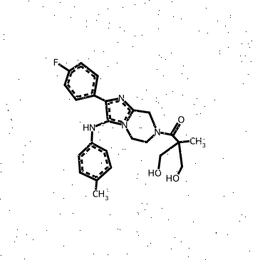 Cc1ccc(Nc2c(-c3ccc(F)cc3)nc3n2CCN(C(=O)C(C)(CO)CO)C3)cc1